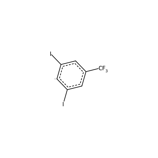 FC(F)(F)c1cc(I)[c]c(I)c1